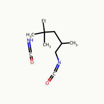 CCC(C)(C)CC(C)CN=C=O.N=C=O